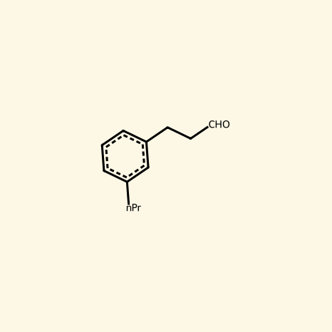 CCCc1cccc(CCC=O)c1